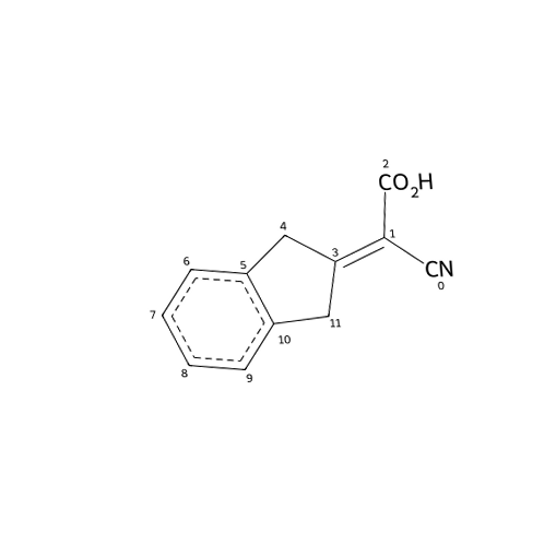 N#CC(C(=O)O)=C1Cc2ccccc2C1